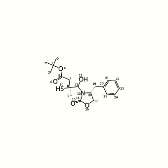 CC(C)(C)OC(=O)C[C@](C)(S)C(O)N1C(=O)OC[C@H]1Cc1ccccc1